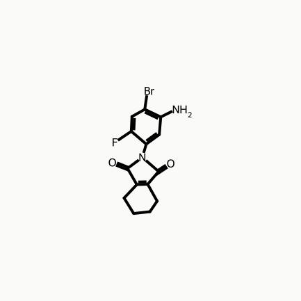 Nc1cc(N2C(=O)C3=C(CCCC3)C2=O)c(F)cc1Br